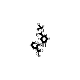 COC(=O)c1cccnc1Nc1cccc(C(=O)OC(C)(C)C)c1